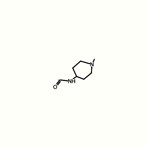 CN1CCC(N[C]=O)CC1